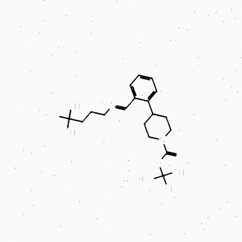 CC(C)(C)CCC/N=C/c1ccccc1C1CCN(C(=O)OC(C)(C)C)CC1